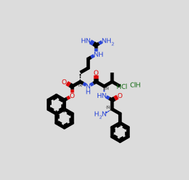 CC(C)[C@H](NC(=O)[C@@H](N)Cc1ccccc1)C(=O)N[C@@H](CCCNC(=N)N)C(=O)Oc1cccc2ccccc12.Cl.Cl